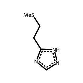 CSCCc1ncn[nH]1